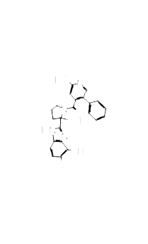 Cc1cc(C(=O)N2CCCC2(C)c2nc3c(C)c(Cl)ccc3[nH]2)c(-c2ccccc2)cn1